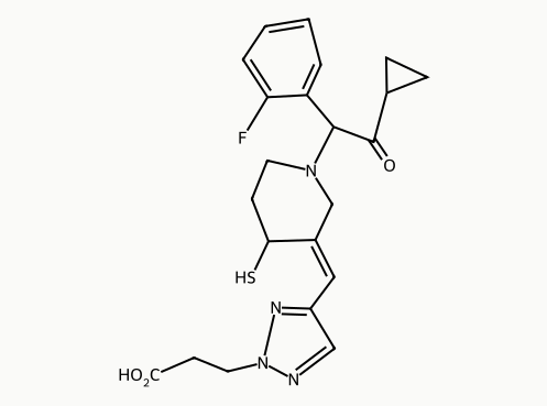 O=C(O)CCn1ncc(C=C2CN(C(C(=O)C3CC3)c3ccccc3F)CCC2S)n1